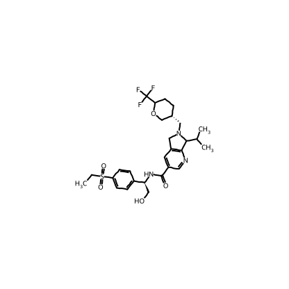 CCS(=O)(=O)c1ccc([C@H](CO)NC(=O)c2cnc3c(c2)CN(C[C@H]2CCC(C(F)(F)F)OC2)C3C(C)C)cc1